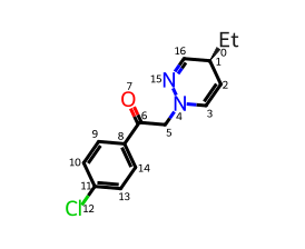 CC[C@H]1C=CN(CC(=O)c2ccc(Cl)cc2)N=C1